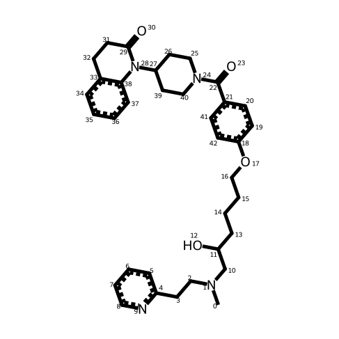 CN(CCc1ccccn1)CC(O)CCCCOc1ccc(C(=O)N2CCC(N3C(=O)CCc4ccccc43)CC2)cc1